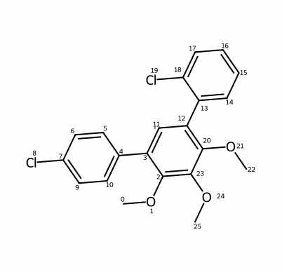 COc1c(-c2ccc(Cl)cc2)[c]c(-c2ccccc2Cl)c(OC)c1OC